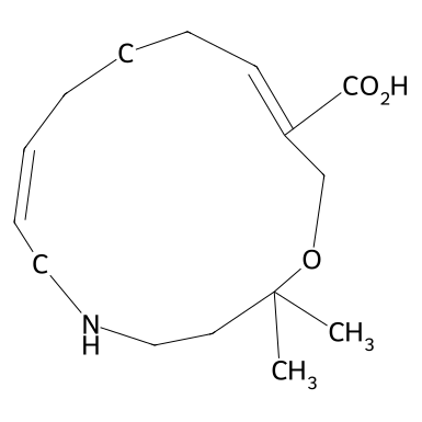 CC1(C)CCNCC=CCCCC=C(C(=O)O)CO1